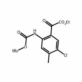 CCOC(=O)C(=O)c1cc(Cl)c(C)cc1NC(=O)OC(C)(C)C